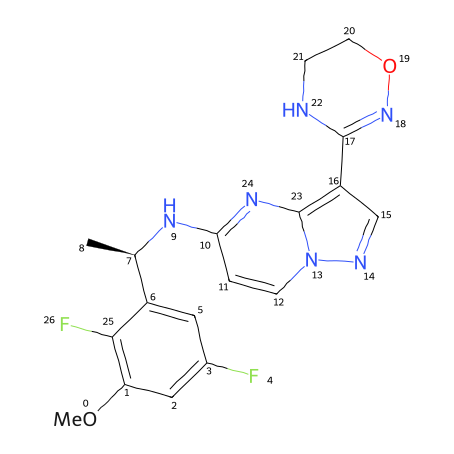 COc1cc(F)cc([C@@H](C)Nc2ccn3ncc(C4=NOCCN4)c3n2)c1F